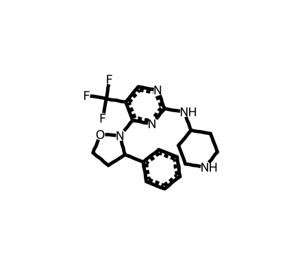 FC(F)(F)c1cnc(NC2CCNCC2)nc1N1OCCC1c1ccccc1